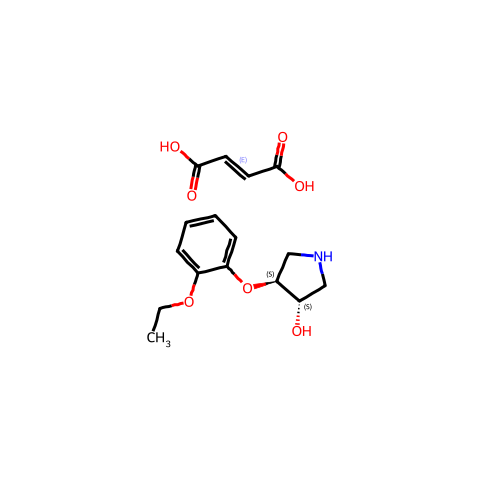 CCOc1ccccc1O[C@H]1CNC[C@@H]1O.O=C(O)/C=C/C(=O)O